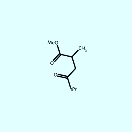 CCCC(=O)CC(C)C(=O)OC